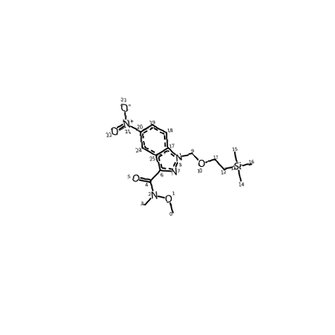 CON(C)C(=O)c1nn(COCC[Si](C)(C)C)c2ccc([N+](=O)[O-])cc12